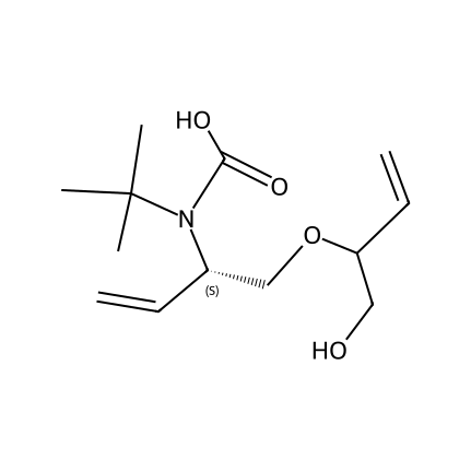 C=CC(CO)OC[C@H](C=C)N(C(=O)O)C(C)(C)C